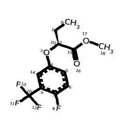 CC[C@H](Oc1ccc(F)c(C(F)(F)F)c1)C(=O)OC